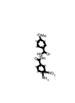 COc1ccc(C(=O)NNC(=O)c2ccc(N)c([N+](=O)[O-])c2)cc1